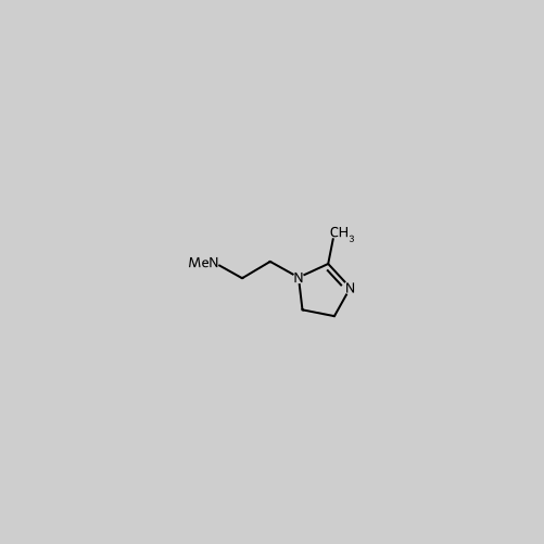 CNCCN1CCN=C1C